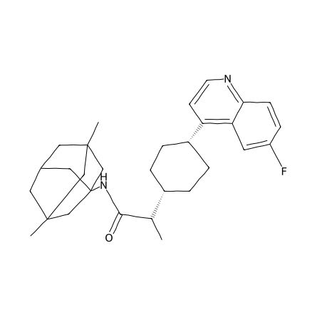 CC(C(=O)NC12CC3CC(C)(CC(C)(C3)C1)C2)[C@H]1CC[C@@H](c2ccnc3ccc(F)cc32)CC1